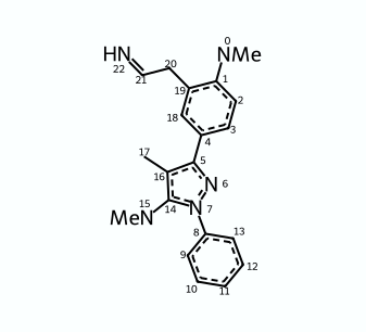 CNc1ccc(-c2nn(-c3ccccc3)c(NC)c2C)cc1CC=N